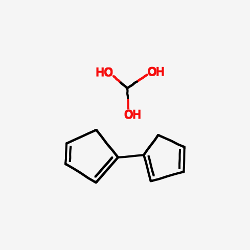 C1=CCC(C2=CC=CC2)=C1.OC(O)O